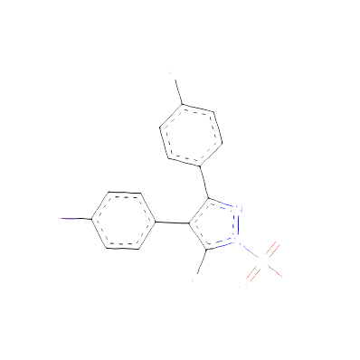 Cc1ccc(-c2nn(S(=O)(=O)O)c(C)c2-c2ccc(I)cc2)cc1